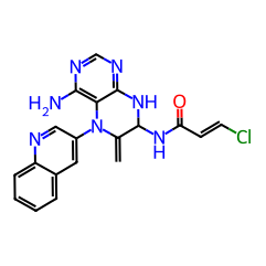 C=C1C(NC(=O)C=CCl)Nc2ncnc(N)c2N1c1cnc2ccccc2c1